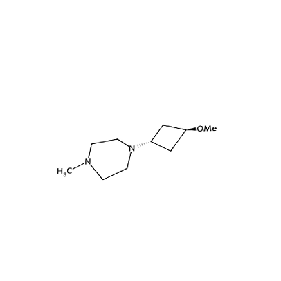 CO[C@H]1C[C@H](N2CCN(C)CC2)C1